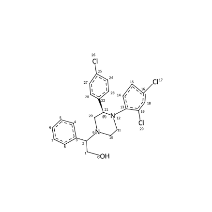 OCC(c1ccccc1)N1CCN(c2ccc(Cl)cc2Cl)[C@H](c2ccc(Cl)cc2)C1